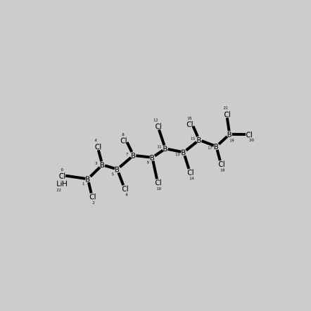 ClB(Cl)B(Cl)B(Cl)B(Cl)B(Cl)B(Cl)B(Cl)B(Cl)B(Cl)B(Cl)Cl.[LiH]